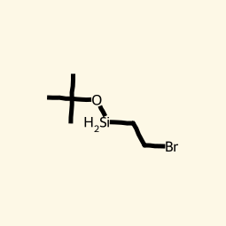 CC(C)(C)O[SiH2]CCBr